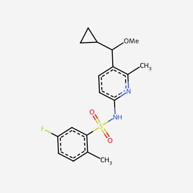 COC(c1ccc(NS(=O)(=O)c2cc(F)ccc2C)nc1C)C1CC1